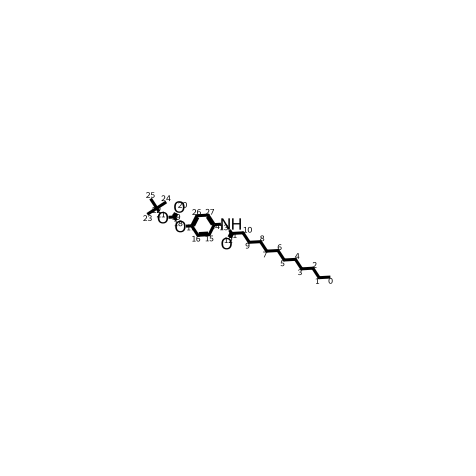 CCCCCCCCCCCC(=O)Nc1ccc(OC(=O)OC(C)(C)C)cc1